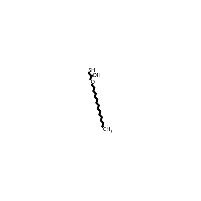 CCCCCCCCCCCCCCCCOCC(O)CS